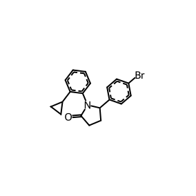 O=C1CCC(c2ccc(Br)cc2)N1c1ccccc1C1CC1